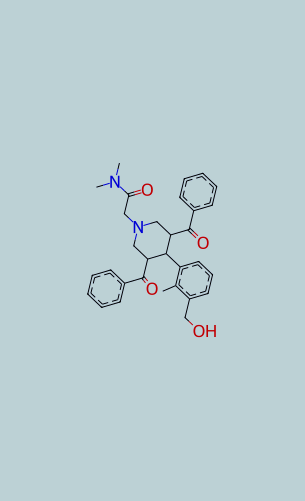 Cc1c(CO)cccc1C1C(C(=O)c2ccccc2)CN(CC(=O)N(C)C)CC1C(=O)c1ccccc1